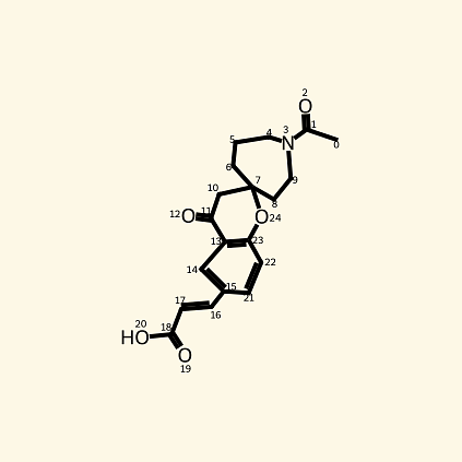 CC(=O)N1CCCC2(CC1)CC(=O)c1cc(C=CC(=O)O)ccc1O2